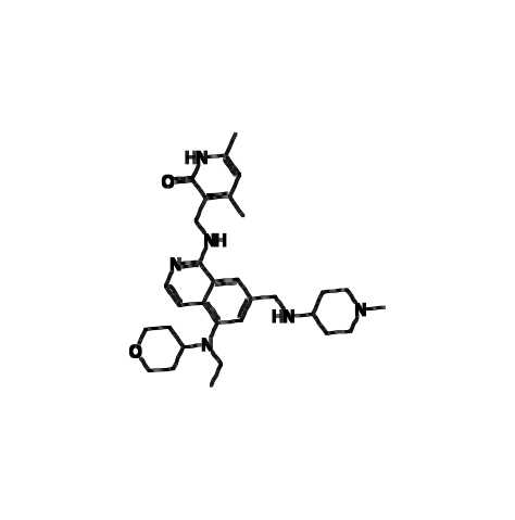 CCN(c1cc(CNC2CCN(C)CC2)cc2c(NCc3c(C)cc(C)[nH]c3=O)nccc12)C1CCOCC1